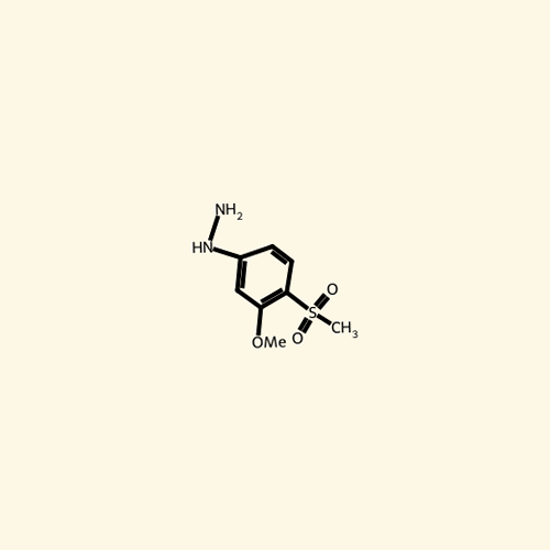 COc1cc(NN)ccc1S(C)(=O)=O